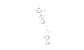 COc1cc(OC)c(-c2cn3ccc(N4CCC(NCc5ccc([N+](=O)[O-])cc5)C4)cc3n2)cc1Cl